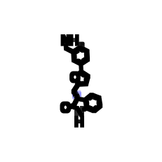 NCc1cccc(-c2ccc(/C=C3/C(=O)Nc4ccccc43)o2)c1